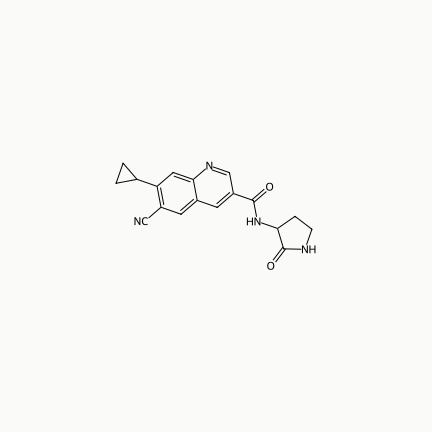 N#Cc1cc2cc(C(=O)NC3CCNC3=O)cnc2cc1C1CC1